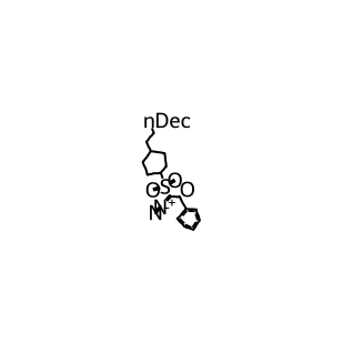 CCCCCCCCCCCCC1CCC(S(=O)(=O)C(=[N+]=[N-])C(=O)c2ccccc2)CC1